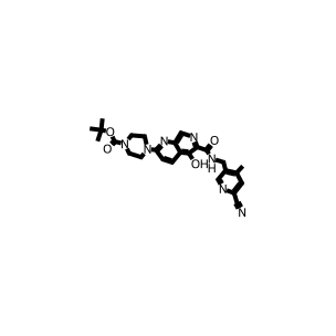 Cc1cc(C#N)ncc1CNC(=O)c1ncc2nc(N3CCN(C(=O)OC(C)(C)C)CC3)ccc2c1O